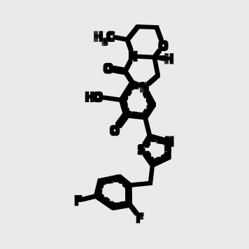 CC1CCO[C@@H]2Cn3cc(-c4ncc(Cc5ccc(F)cc5F)s4)c(=O)c(O)c3C(=O)N12